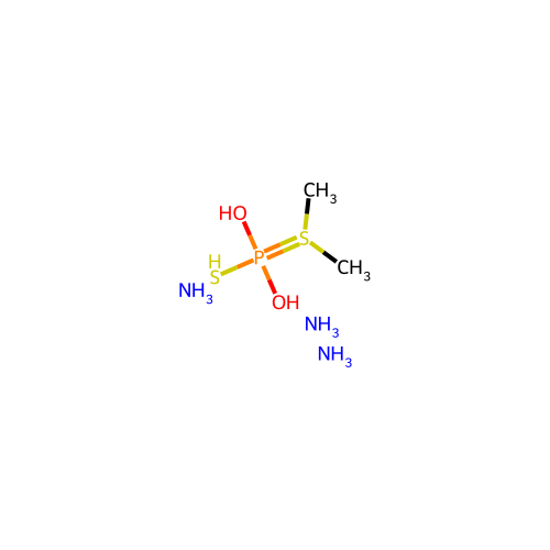 CS(C)=P(O)(O)S.N.N.N